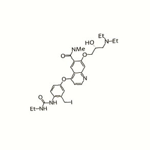 CCNC(=O)Nc1ccc(Oc2ccnc3cc(OC[C@H](O)CN(CC)CC)c(C(=O)NC)cc23)cc1CI